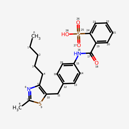 CCCCCc1nc(C)sc1Cc1ccc(NC(=O)c2ccccc2S(=O)(=O)O)cc1